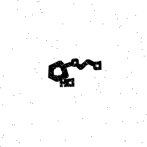 Cl.ClCCOc1ccccc1